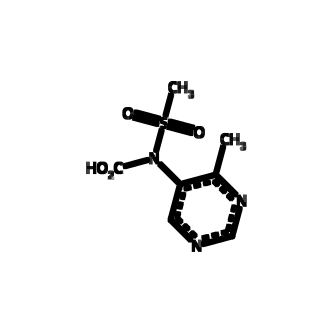 Cc1ncncc1N(C(=O)O)S(C)(=O)=O